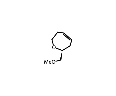 COC[C@@H]1CC=CCCO1